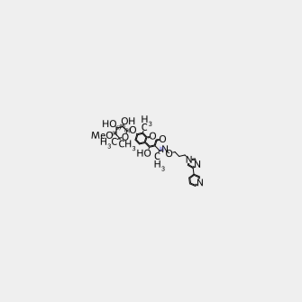 CO[C@@H]1[C@@H](O)[C@@H](O)[C@H](Oc2ccc3c(O)c(/C(C)=N/OCCCn4cnc(-c5cccnc5)c4)c(=O)oc3c2C)OC1(C)C